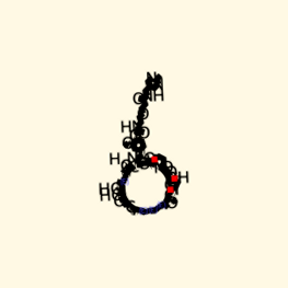 CO[C@H]1C[C@@H]2CC[C@@H](C)[C@@](O)(O2)C(=O)C(=O)N2CCCC[C@H]2C(=O)O[C@H]([C@H](N)C[C@@H]2CC[C@@H](OC(=O)NCCOCCC(=O)NCc3cnc(C)nc3)[C@H](OC)C2)CC(=O)[C@H](C)/C=C(\C)[C@@H](O)[C@@H](O)C(=O)C(C)C[C@H](C)/C=C/C=C/C=C/1C